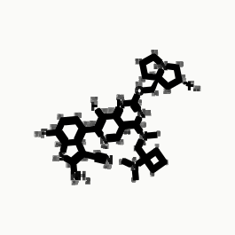 CN(CC1(N(C)C)CCC1)c1nc(OC[C@@]23CCCN2C[C@H](F)C3)nc2c(F)c(-c3ccc(F)c4sc(N)c(C#N)c34)ncc12